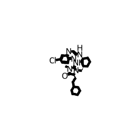 CN1C(=N)N(C[C@H]2CCC[C@@H](Nc3cnc4cc(Cl)ccc4n3)C2)[C@@H](CCC2CCCCC2)C1=O